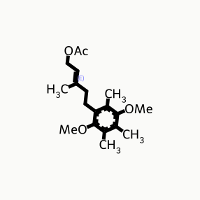 COc1c(C)c(C)c(OC)c(CC/C(C)=C/COC(C)=O)c1C